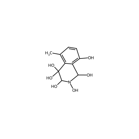 Cc1ccc(O)c2c1C(O)(O)C(O)N(O)C2O